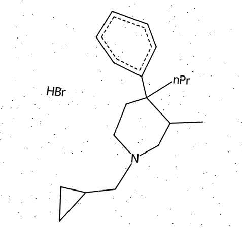 Br.CCCC1(c2ccccc2)CCN(CC2CC2)CC1C